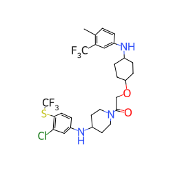 Cc1ccc(NC2CCC(OCC(=O)N3CCC(Nc4ccc(SC(F)(F)F)c(Cl)c4)CC3)CC2)cc1C(F)(F)F